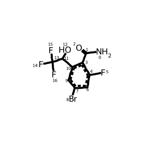 NC(=O)c1c(F)cc(Br)cc1C(O)C(F)(F)F